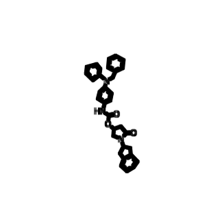 O=C(Nc1ccc(N(Cc2ccccc2)c2ccccc2)cc1)OC1CC(=O)N(C2Cc3ccccc3C2)C1